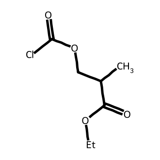 CCOC(=O)C(C)COC(=O)Cl